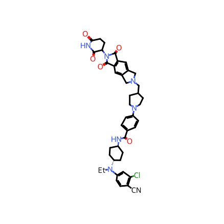 CCN(c1ccc(C#N)c(Cl)c1)[C@H]1CC[C@H](NC(=O)c2ccc(N3CCC(CN4Cc5cc6c(cc5C4)C(=O)N(C4CCC(=O)NC4=O)C6=O)CC3)cc2)CC1